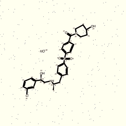 C[C@H](Cc1ccc(S(=O)(=O)c2ccc(C(=O)N3CCC(O)CC3)cc2)cc1)NC[C@H](O)c1cccc(Cl)c1.Cl